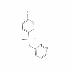 CC(C)(Cc1cccnn1)c1ccc(F)cc1